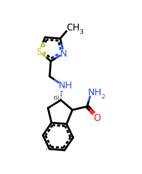 Cc1csc(CN[C@H]2Cc3c[c]ccc3C2C(N)=O)n1